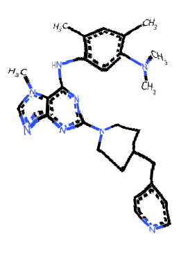 Cc1cc(C)c(N(C)C)cc1Nc1nc(N2CCC(Cc3ccncc3)CC2)nc2ncn(C)c12